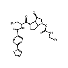 CC(C)CNC(=O)ON1CC(=O)C2C1CCN2C(=O)C(CC(C)C)NC(=O)c1ccc(-c2cccs2)cc1